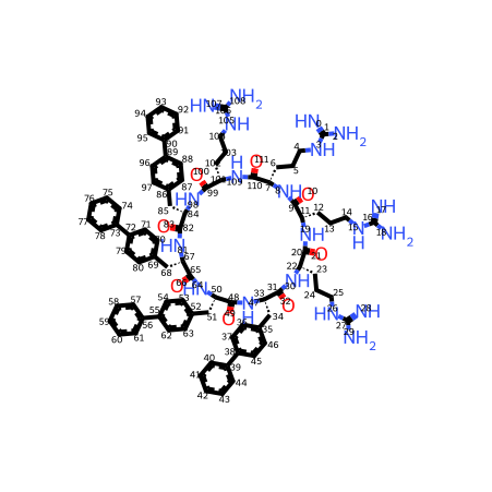 N=C(N)NCCC[C@@H]1NC(=O)[C@H](CCCNC(=N)N)NC(=O)[C@H](CCCNC(=N)N)NC(=O)[C@H](Cc2ccc(-c3ccccc3)cc2)NC(=O)[C@H](Cc2ccc(-c3ccccc3)cc2)NC(=O)[C@H](Cc2ccc(-c3ccccc3)cc2)NC(=O)[C@H](Cc2ccc(-c3ccccc3)cc2)NC(=O)[C@H](CCCNC(=N)N)NC1=O